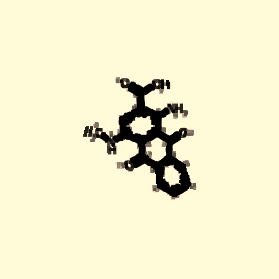 CNc1cc(C(=O)O)c(N)c2c1C(=O)c1ccccc1C2=O